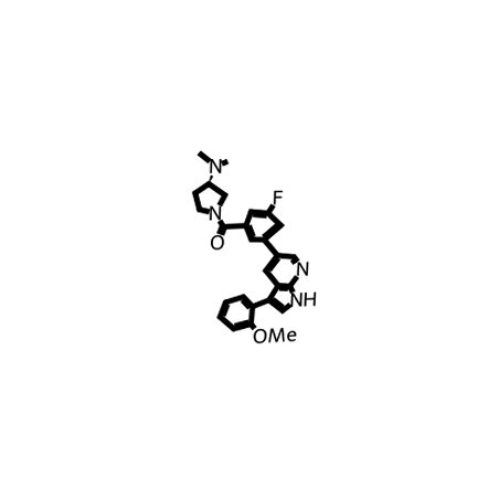 COc1ccccc1-c1c[nH]c2ncc(-c3cc(F)cc(C(=O)N4CC[C@H](N(C)C)C4)c3)cc12